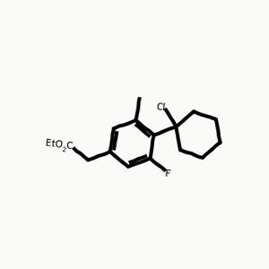 CCOC(=O)Cc1cc(C)c(C2(Cl)CCCCC2)c(F)c1